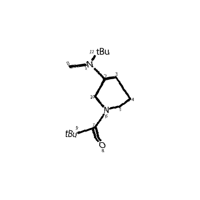 CN(C1CCCN(C(=O)C(C)(C)C)C1)C(C)(C)C